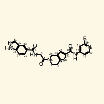 O=C(NCC(=O)N1CCc2sc(C(=O)Nc3ccnc(F)c3)cc2C1)c1ccc2[nH]ncc2c1